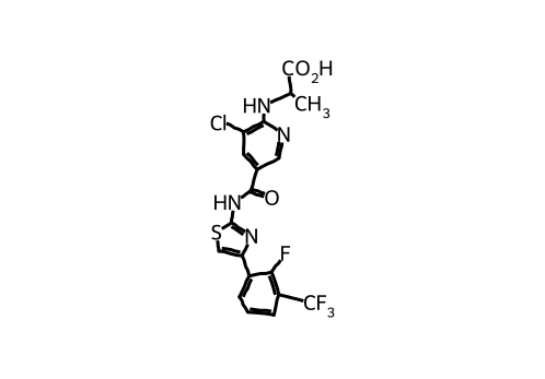 CC(Nc1ncc(C(=O)Nc2nc(-c3cccc(C(F)(F)F)c3F)cs2)cc1Cl)C(=O)O